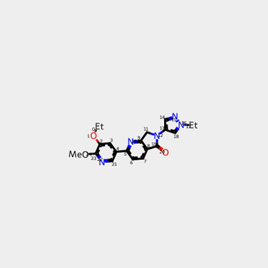 CCOc1cc(-c2ccc3c(n2)CN(c2cnn(CC)c2)C3=O)cnc1OC